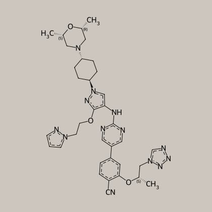 C[C@@H]1CN([C@H]2CC[C@H](n3cc(Nc4ncc(-c5ccc(C#N)c(O[C@@H](C)Cn6cnnn6)c5)cn4)c(OCCn4cccn4)n3)CC2)C[C@H](C)O1